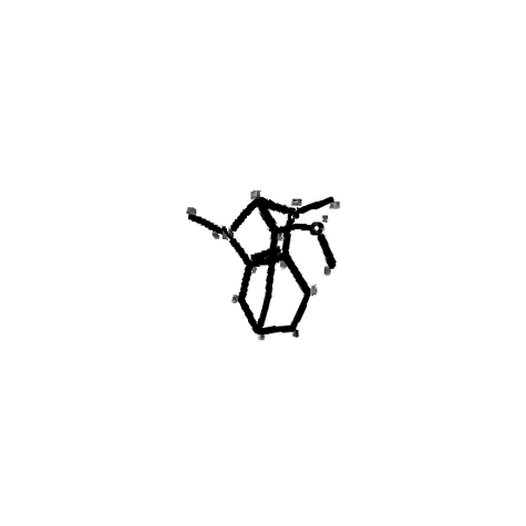 COC1C2CCC3=C(C2)N(C)C1N3C